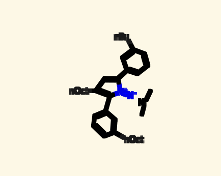 CCCCCCCCC1=C(c2cccc(CCCCCCCC)c2)[N+](=[N-])C(c2cccc(CCCC)c2)=C1.[CH3][Ni][CH3]